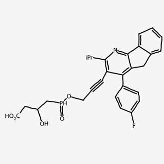 CC(C)c1nc2c(c(-c3ccc(F)cc3)c1C#CCO[PH](=O)CC(O)CC(=O)O)Cc1ccccc1-2